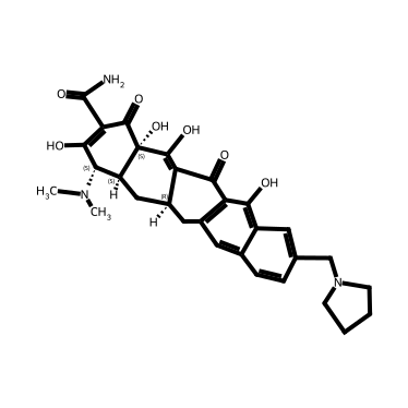 CN(C)[C@@H]1C(O)=C(C(N)=O)C(=O)[C@@]2(O)C(O)=C3C(=O)c4c(cc5ccc(CN6CCCC6)cc5c4O)C[C@H]3C[C@@H]12